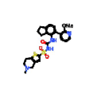 COc1ncccc1-c1ccc2c(c1NC(=O)NS(=O)(=O)c1cc3c(s1)CCN(C)C3)CCC2